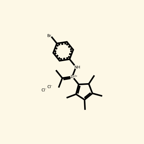 CC1=C(C)C(C)[C]([Zr+2]([NH]c2ccc(Br)cc2)=[C](C)C)=C1C.[Cl-].[Cl-]